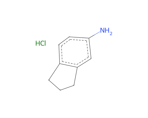 Cl.Nc1ccc2c(c1)CCC2